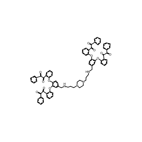 O=C(C(=O)c1ccccc1Oc1ccc(CNCCCN2CCN(CCCNCc3ccc(Oc4ccccc4C(=O)C(=O)c4ccccc4)c(Oc4ccccc4C(=O)C(=O)c4ccccc4)c3)CC2)cc1Oc1ccccc1C(=O)C(=O)c1ccccc1)c1ccccc1